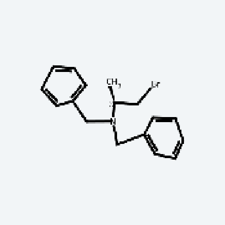 C[C@@H](CBr)N(Cc1ccccc1)Cc1ccccc1